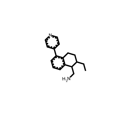 CCC1CCc2c(-c3ccncc3)cccc2C1CN